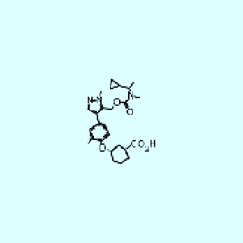 Cc1cc(-c2cnn(C)c2COC(=O)N(C)C(C)C2CC2)ccc1O[C@H]1CCC[C@H](C(=O)O)C1